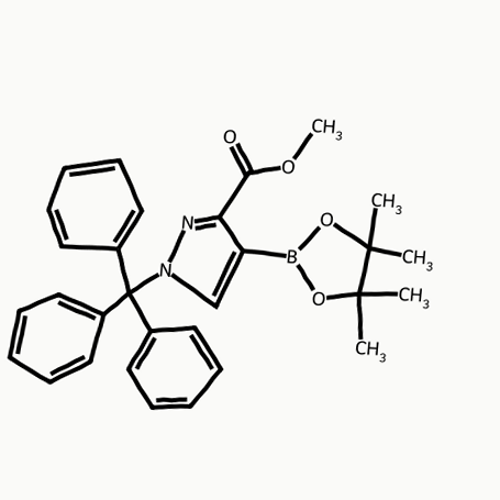 COC(=O)c1nn(C(c2ccccc2)(c2ccccc2)c2ccccc2)cc1B1OC(C)(C)C(C)(C)O1